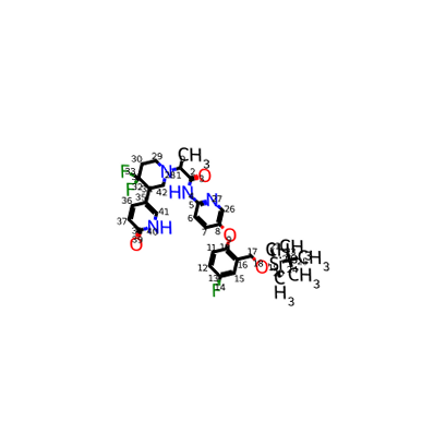 CC(C(=O)Nc1ccc(Oc2ccc(F)cc2CO[Si](C)(C)C(C)(C)C)cn1)N1CCC(F)(F)C(c2ccc(=O)[nH]c2)C1